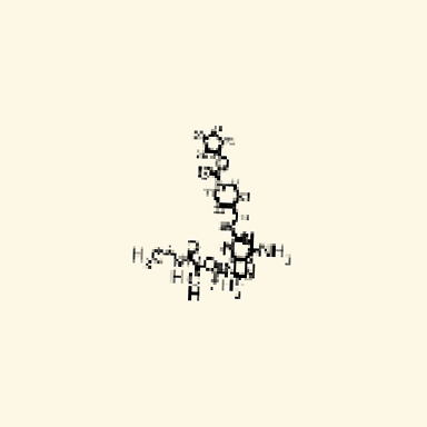 CCNC(=O)C(O)O[C@H](C)n1cnc2c(N)nc(CCC3CCN(C(=O)OC4CCCC4)CC3)nc21